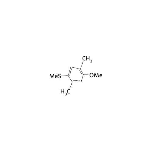 COc1cc(C)c(SC)cc1C